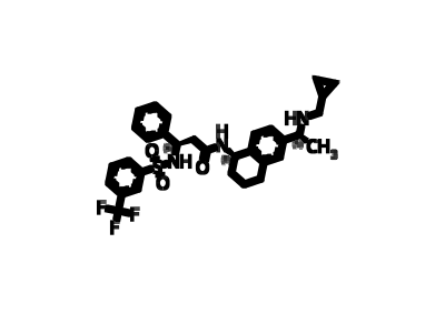 C[C@H](NCC1CC1)c1ccc2c(c1)CCC[C@H]2NC(=O)C[C@@H](NS(=O)(=O)c1cccc(C(F)(F)F)c1)c1ccccc1